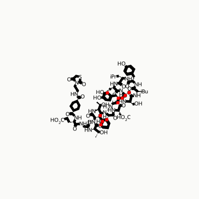 CC[C@H](C)[C@H](NC(=O)[C@H](CO)NC(=O)[C@H](Cc1ccc(O)cc1)NC(=O)[C@H](CC(=O)O)NC(=O)[C@H](CO)NC(=O)[C@@H](NC(=O)[C@H](Cc1ccccc1)NC(=O)[C@@H](NC(=O)CNC(=O)[C@H](CCC(=O)O)NC(=O)[C@H]1CC[C@@H](C(=O)NCCN2C(=O)CSC2=O)CC1)[C@@H](C)O)[C@@H](C)O)C(=O)N[C@@H](Cc1ccc(O)cc1)C(=O)N[C@@H](CC(C)C)C(=O)N[C@@H](CC(=O)O)C(=O)N[C@H](C)CCCCN